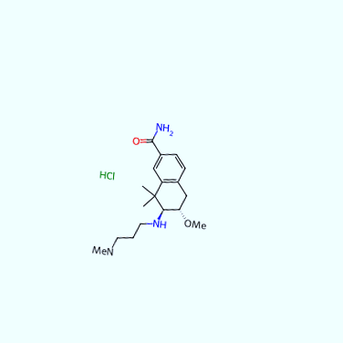 CNCCCN[C@@H]1[C@@H](OC)Cc2ccc(C(N)=O)cc2C1(C)C.Cl